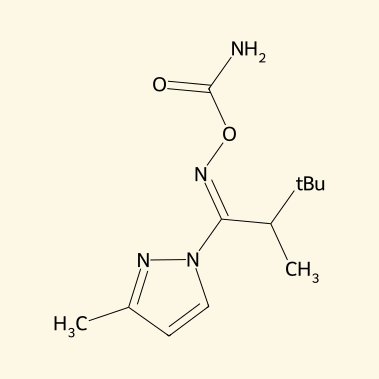 Cc1ccn(C(=NOC(N)=O)C(C)C(C)(C)C)n1